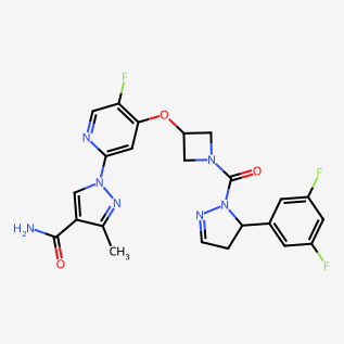 Cc1nn(-c2cc(OC3CN(C(=O)N4N=CCC4c4cc(F)cc(F)c4)C3)c(F)cn2)cc1C(N)=O